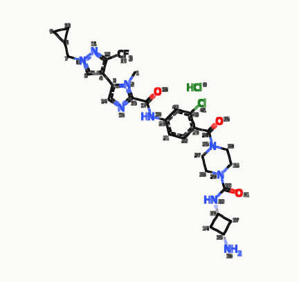 Cl.Cn1c(-c2cn(CC3CC3)nc2C(F)(F)F)cnc1C(=O)Nc1ccc(C(=O)N2CCN(C(=O)N[C@H]3C[C@@H](N)C3)CC2)c(Cl)c1